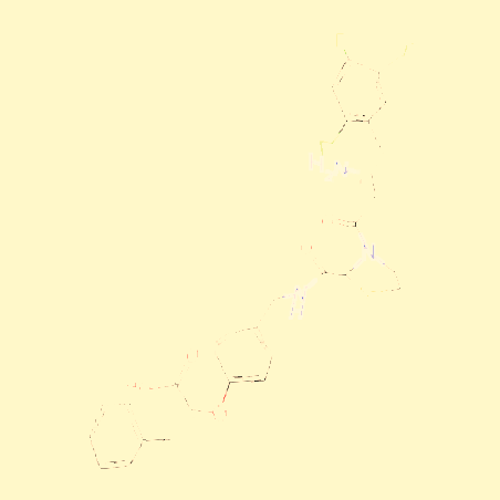 N[C@@H](CC(=O)N1CCSC1C(=O)NCc1ccc(O[C@H](Cc2ccccc2)C(=O)O)cc1)Cc1cc(F)c(F)cc1F